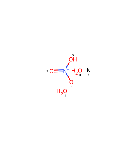 O.O.O=[N+]([O-])O.[Ni]